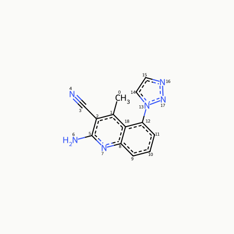 Cc1c(C#N)c(N)nc2cccc(-n3ccnn3)c12